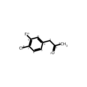 CC(=O)Cc1ccc(Cl)c(F)c1